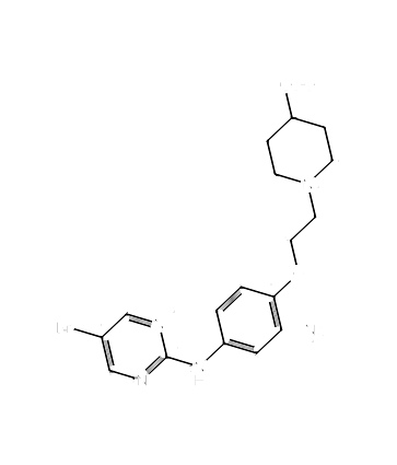 O=C([O-])C1CCN(CCOc2ccc(Nc3ncc(Br)cn3)cc2)CC1.[Na+]